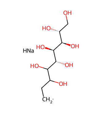 [CH2]CC(O)C(O)[C@@H](O)[C@@H](O)[C@H](O)[C@H](O)CO.[NaH]